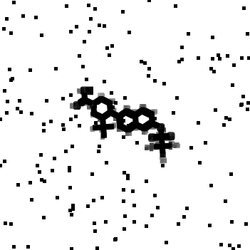 CC(C)(C)C1CN(C(=O)O)CCC1c1ccc2cc(OS(=O)(=O)C(F)(F)F)ccc2c1